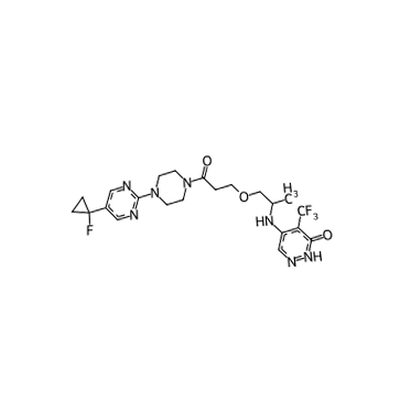 CC(COCCC(=O)N1CCN(c2ncc(C3(F)CC3)cn2)CC1)Nc1cn[nH]c(=O)c1C(F)(F)F